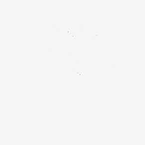 C=CCCNc1c(I)ncc(Br)c1C.CC(C)(C)OC=O